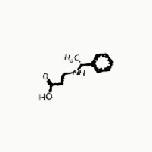 C[C@@H](NCCC(=O)O)c1ccccc1